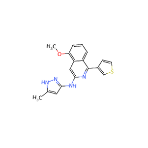 COc1cccc2c(-c3ccsc3)nc(Nc3cc(C)[nH]n3)cc12